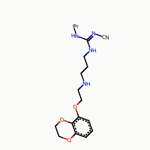 CC(C)N/C(=N/C#N)NCCCNCCOc1cccc2c1OCCO2